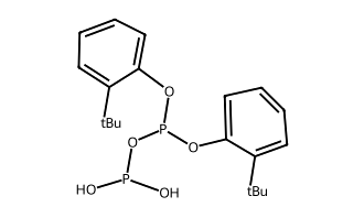 CC(C)(C)c1ccccc1OP(Oc1ccccc1C(C)(C)C)OP(O)O